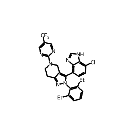 CCc1cccc(CC)c1-n1nc2c(c1-c1ccc(Cl)c3[nH]cnc13)CN(c1ncc(C(F)(F)F)cn1)CC2